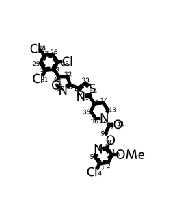 COc1cc(Cl)cnc1OCC(=O)N1CCC(c2nc(C3=NOC(c4c(Cl)cc(Cl)cc4Cl)C3)cs2)CC1